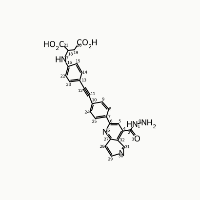 NNC(=O)c1cc(-c2ccc(C#Cc3ccc(NC(CC(=O)O)C(=O)O)cc3)cc2)nc2ccncc12